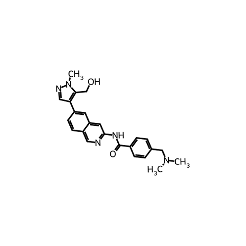 CN(C)Cc1ccc(C(=O)Nc2cc3cc(-c4cnn(C)c4CO)ccc3cn2)cc1